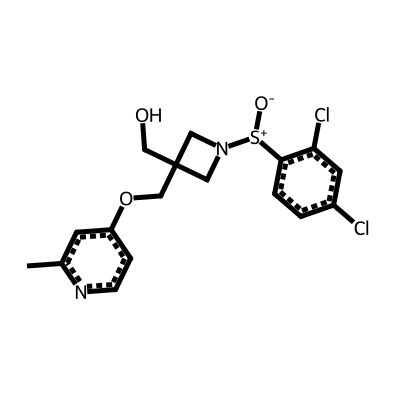 Cc1cc(OCC2(CO)CN([S+]([O-])c3ccc(Cl)cc3Cl)C2)ccn1